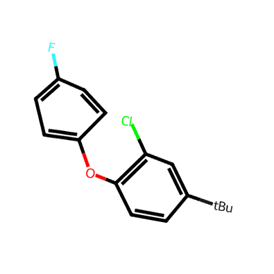 CC(C)(C)c1ccc(Oc2ccc(F)cc2)c(Cl)c1